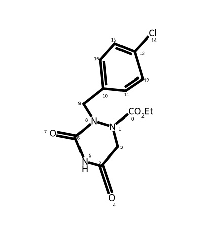 CCOC(=O)N1CC(=O)NC(=O)N1Cc1ccc(Cl)cc1